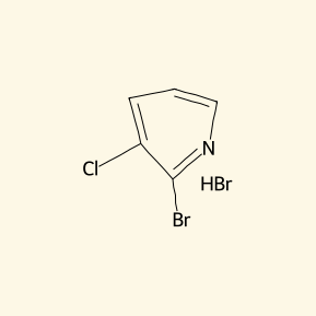 Br.Clc1cccnc1Br